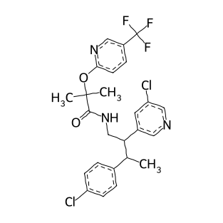 CC(c1ccc(Cl)cc1)C(CNC(=O)C(C)(C)Oc1ccc(C(F)(F)F)cn1)c1cncc(Cl)c1